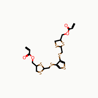 C=CC(=O)OCC1CSC(CSc2cscc2SCC2SCC(COC(=O)C=C)S2)S1